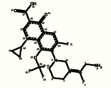 NC/C(F)=C1/CCCN(c2c(F)cc3c(=O)c(C(=O)O)cn(C4CC4)c3c2OC(F)(F)F)C1